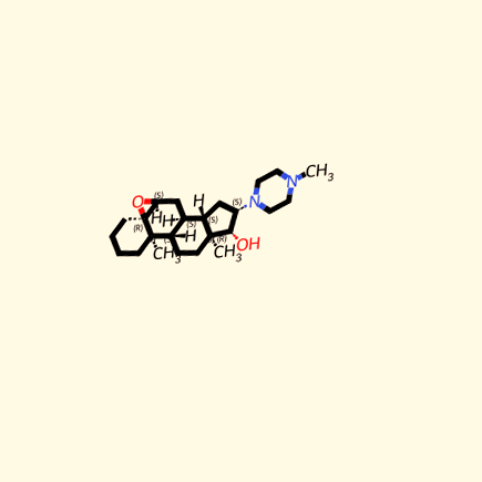 CN1CCN([C@H]2C[C@H]3[C@@H]4C[C@@H]5O[C@@]56CCCC[C@]6(C)[C@H]4CC[C@]3(C)[C@H]2O)CC1